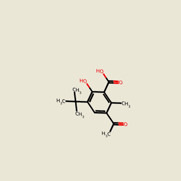 CC(=O)c1cc(C(C)(C)C)c(O)c(C(=O)O)c1C